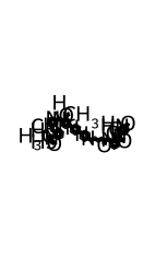 COc1cc(N2CCC(N3CCN(CCCCC(=O)Nc4cccc5c4C(=O)N(C4CCC(=O)NC4=O)C5=O)CC3)CC2)ccc1Nc1ncc(Cl)c(Nc2ccccc2N(C)[SH]=O)n1